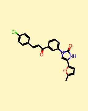 Cc1ccc(-c2cn(-c3cccc(C(=O)/C=C/c4ccc(Cl)cc4)c3)c(=O)[nH]2)o1